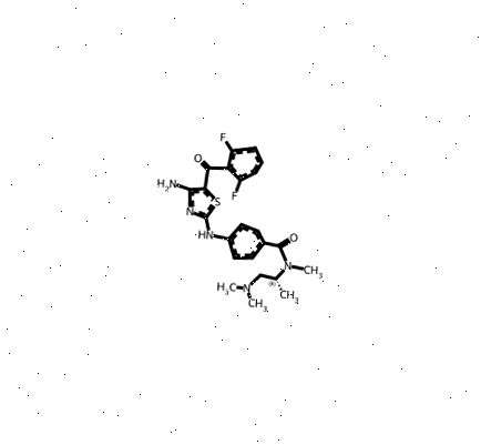 C[C@H](CN(C)C)N(C)C(=O)c1ccc(Nc2nc(N)c(C(=O)c3c(F)cccc3F)s2)cc1